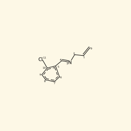 C=CCN=Cc1c[c]ccc1Cl